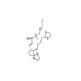 CCCOCC(C)(C)C(=O)C=C[C@H]1CCC2(OCCO2)[C@@H]1CCCCC1SCCS1